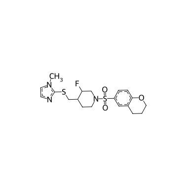 Cn1ccnc1SCC1CCN(S(=O)(=O)c2ccc3c(c2)CCCO3)CC1F